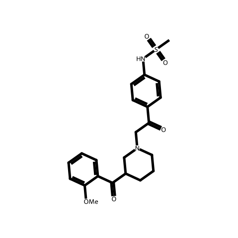 COc1ccccc1C(=O)C1CCCN(CC(=O)c2ccc(NS(C)(=O)=O)cc2)C1